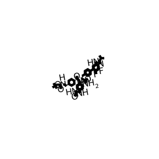 CC(C)c1nc2c(F)c(F)c(-c3ccc(C[C@@H](C(N)=O)N(c4ccc5[nH]c(=O)[nH]c5c4)C(=O)[C@H]4CC[C@H](CNC(=O)OC(C)(C)C)CC4)cc3)cc2[nH]1